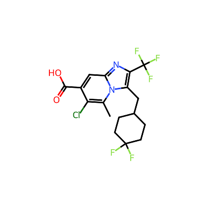 Cc1c(Cl)c(C(=O)O)cc2nc(C(F)(F)F)c(CC3CCC(F)(F)CC3)n12